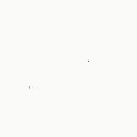 Cc1cc(C)cc(C2CCCN2c2ccc(C(N)=O)c(Oc3ccccc3)c2C)c1